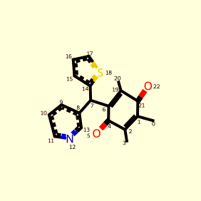 CC1=C(C)C(=O)C(C(c2cccnc2)c2cccs2)=C(C)C1=O